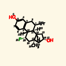 CC(C)[C@@H]1Cc2cc(O)ccc2[C@@H]2[C@@H]1[C@@H]1C[C@H](O)C[C@@]1(C)C[C@@H]2F